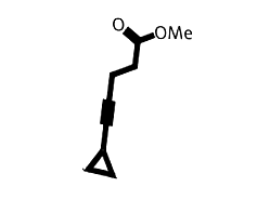 COC(=O)CCC#CC1[CH]C1